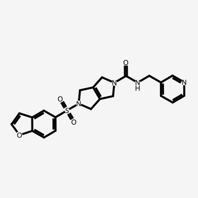 O=C(NCc1cccnc1)N1CC2=C(C1)CN(S(=O)(=O)c1ccc3occc3c1)C2